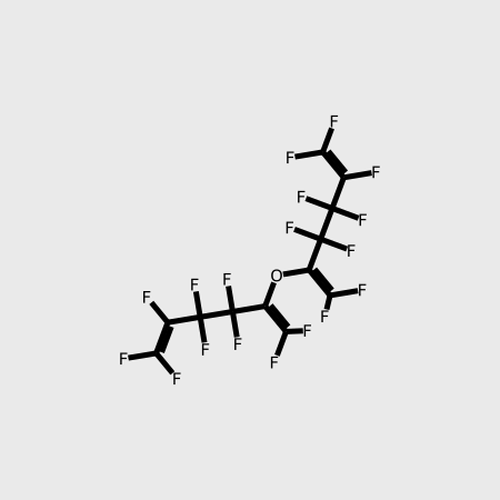 FC(F)=C(F)C(F)(F)C(F)(F)C(OC(=C(F)F)C(F)(F)C(F)(F)C(F)=C(F)F)=C(F)F